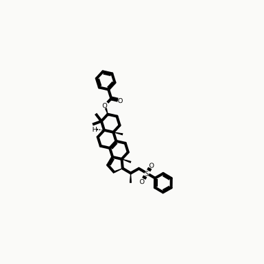 C[C@H](CS(=O)(=O)c1ccccc1)[C@H]1CC=C2C3=C(CC[C@@]21C)[C@@]1(C)CC[C@H](OC(=O)c2ccccc2)C(C)(C)[C@@H]1CC3